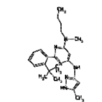 CCCCN(C)c1cc(Nc2cc(C)[nH]n2)nc(-c2ccccc2C(C)(C)C)n1